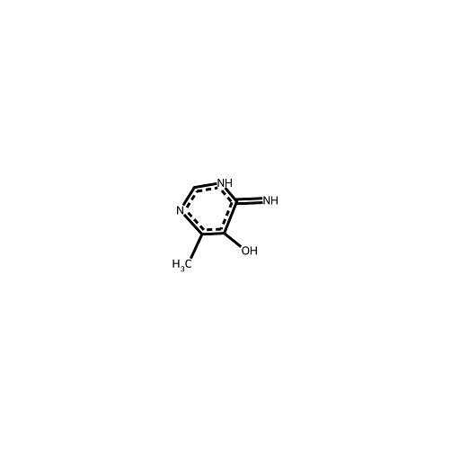 Cc1nc[nH]c(=N)c1O